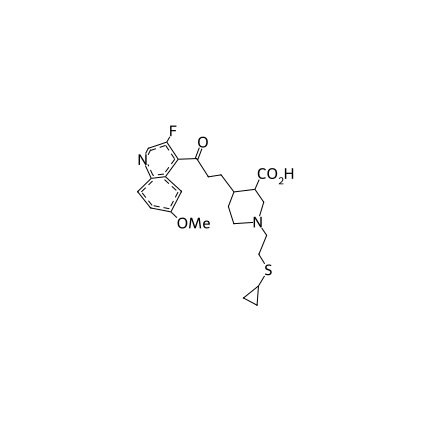 COc1ccc2ncc(F)c(C(=O)CCC3CCN(CCSC4CC4)CC3C(=O)O)c2c1